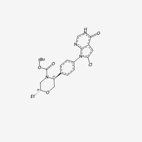 CC[C@@H]1CN(C(=O)OC(C)(C)C)[C@@H](c2ccc(-n3c(Cl)cc4c(=O)[nH]cnc43)cc2)CO1